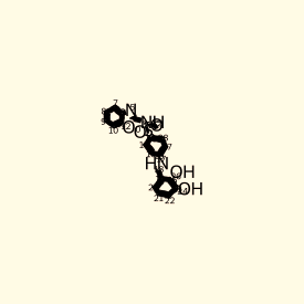 O=S(=O)(Nc1nc2ccccc2o1)c1ccc(NCc2cccc(O)c2O)cc1